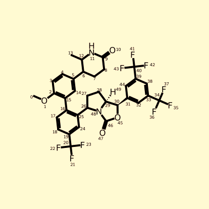 COc1ccc(C2CCC(=O)NC2C)cc1-c1ccc(C(F)(F)F)cc1C1CC[C@H]2[C@@H](c3cc(C(F)(F)F)cc(C(F)(F)F)c3)OC(=O)N12